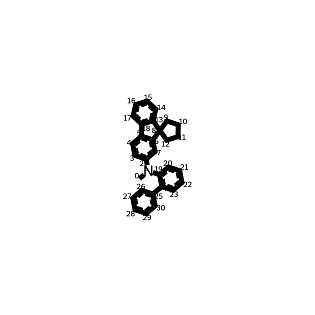 CN(c1ccc2c(c1)C1(CCCC1)c1ccccc1-2)c1ccccc1-c1ccccc1